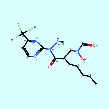 CCCCC[C@H](CN(O)C=O)C(=O)N(NC)c1nccc(C(F)(F)F)n1